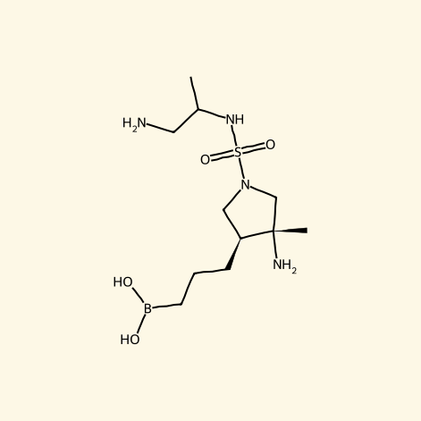 CC(CN)NS(=O)(=O)N1C[C@H](CCCB(O)O)[C@@](C)(N)C1